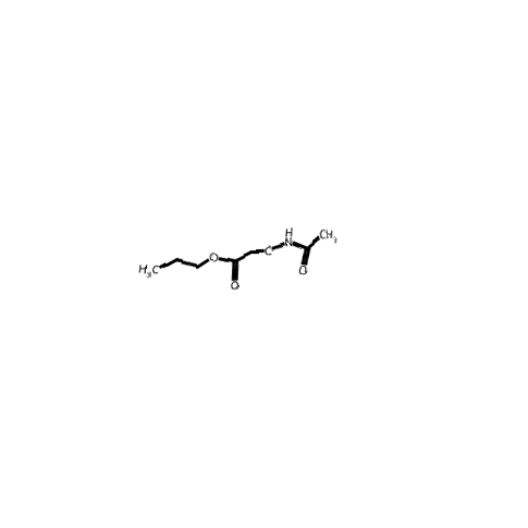 CCCOC(=O)CCNC(C)=O